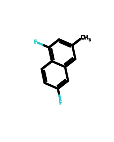 Cc1cc(F)c2ccc(F)cc2c1